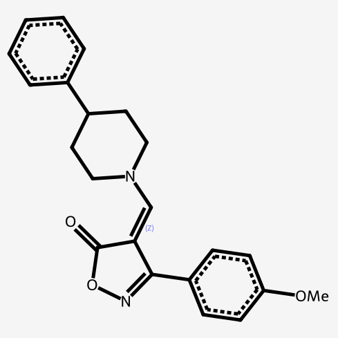 COc1ccc(C2=NOC(=O)/C2=C\N2CCC(c3ccccc3)CC2)cc1